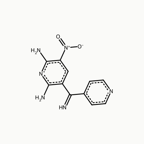 N=C(c1ccncc1)c1cc([N+](=O)[O-])c(N)nc1N